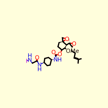 COC1C(OC(=O)N[C@H]2CC[C@H](NC(=O)CNI)CC2)CC[C@]2(CO2)[C@H]1[C@@]1(C)O[C@@H]1CCC=C(C)C